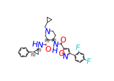 O=C(N[C@@H]1CCN(CC2CC2)C[C@H]1C(=O)N[C@@H]1C[C@H]1c1ccccc1)c1cc(-c2ccc(F)cc2F)no1